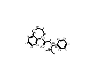 CN(C)[C@@H](CC(=O)N1CCCOc2ccccc21)c1ccccc1